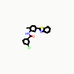 Cc1ccc(-c2nc3ccccc3s2)cc1NC(=O)c1cccc(Cl)c1